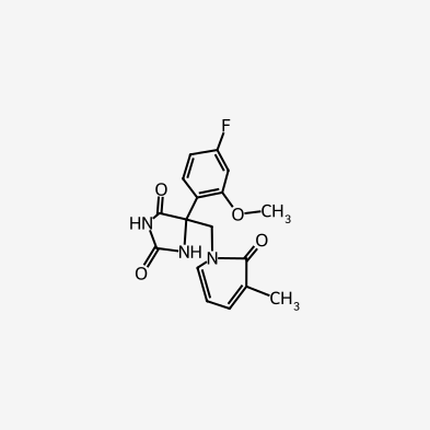 COc1cc(F)ccc1C1(Cn2cccc(C)c2=O)NC(=O)NC1=O